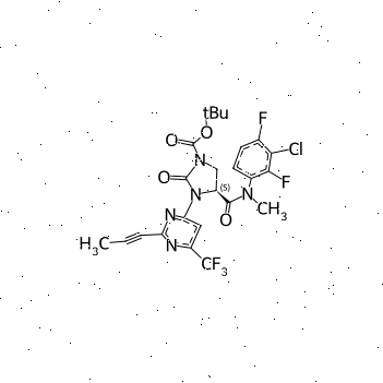 CC#Cc1nc(N2C(=O)N(C(=O)OC(C)(C)C)C[C@H]2C(=O)N(C)c2ccc(F)c(Cl)c2F)cc(C(F)(F)F)n1